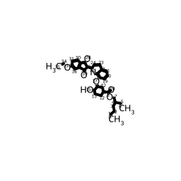 CCCCC(CC)COC(=O)C1CCC(O)C(Oc2cccc3ccc(C4C(=O)c5ccc(OCC)cc5C4=O)nc23)C1